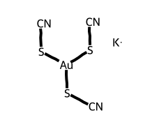 N#C[S][Au]([S]C#N)[S]C#N.[K]